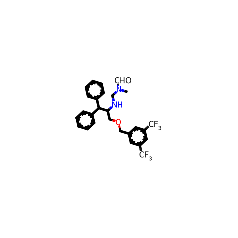 CN(C=O)CNC(COCc1cc(C(F)(F)F)cc(C(F)(F)F)c1)C(c1ccccc1)c1ccccc1